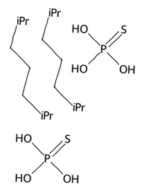 CC(C)CCCC(C)C.CC(C)CCCC(C)C.OP(O)(O)=S.OP(O)(O)=S